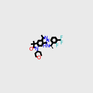 Cc1nnc(N[C@H](C)c2cccc(C(F)F)c2F)c2cc3c(cc12)C(C)(C)C(=O)N3C1CCOCC1